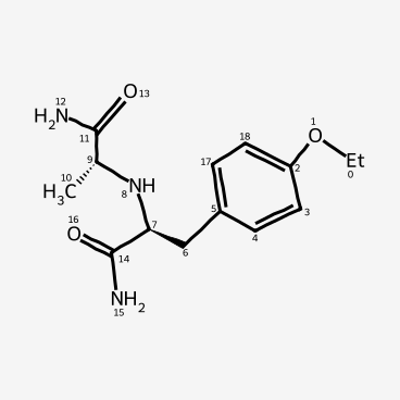 CCOc1ccc(C[C@H](N[C@H](C)C(N)=O)C(N)=O)cc1